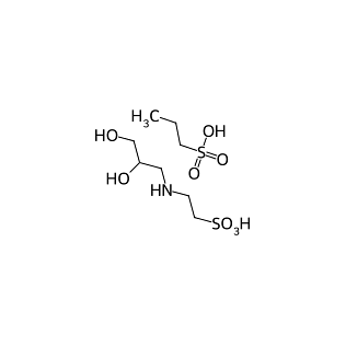 CCCS(=O)(=O)O.O=S(=O)(O)CCNCC(O)CO